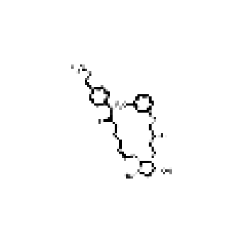 O=C(CCC/C=C\C[C@@H]1[C@@H](CC[C@@H](O)COc2cccc(C(F)(F)F)c2)[C@H](O)C[C@@H]1O)Oc1ccc(CO[N+](=O)[O-])cc1